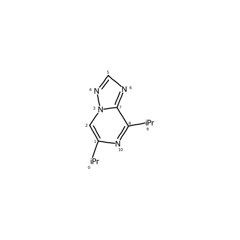 CC(C)c1cn2ncnc2c(C(C)C)n1